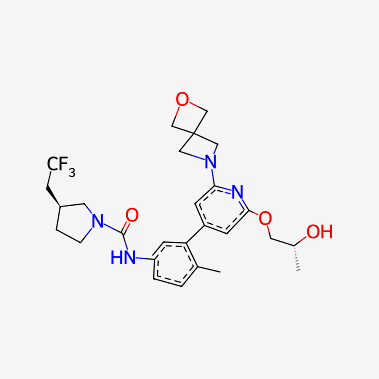 Cc1ccc(NC(=O)N2CC[C@@H](CC(F)(F)F)C2)cc1-c1cc(OC[C@@H](C)O)nc(N2CC3(COC3)C2)c1